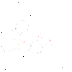 CC(Oc1ccc(C(=O)O)c(O)c1)S(=O)(=O)c1ccccc1